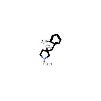 O=C(O)N1CCC(Cc2ccccc2[N+](=O)[O-])(C(=O)O)C1